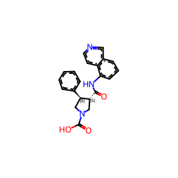 O=C(Nc1cccc2cnccc12)[C@@H]1CN(C(=O)O)C[C@H]1c1ccccc1